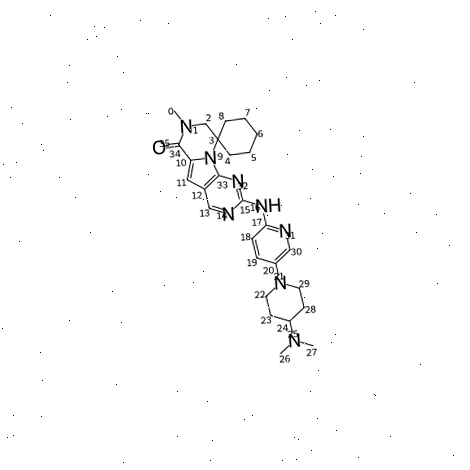 CN1CC2(CCCCC2)n2c(cc3cnc(Nc4ccc(N5CCC(N(C)C)CC5)cn4)nc32)C1=O